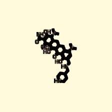 CN(C)c1cc(CNCC2CCNCC2)c(O)c2c1CC1CC3C(N(C)C)C(O)=C(C(N)=O)C(=O)C3(O)C(O)=C1C2=O